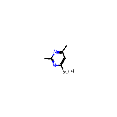 Cc1cc(S(=O)(=O)O)nc(C)n1